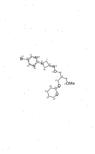 COCC(CON=C1CN(c2ncc(Br)cn2)C1)COC1CCCCO1